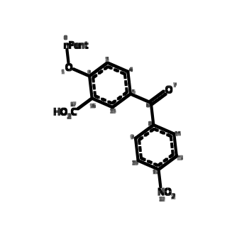 CCCCCOc1ccc(C(=O)c2ccc([N+](=O)[O-])cc2)cc1C(=O)O